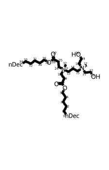 CCCCCCCCCCCCCCCOC(=O)CC[N+](C)(CCC[N+](C)(CCO)CCO)CCC(=O)OCCCCCCCCCCCCCCC